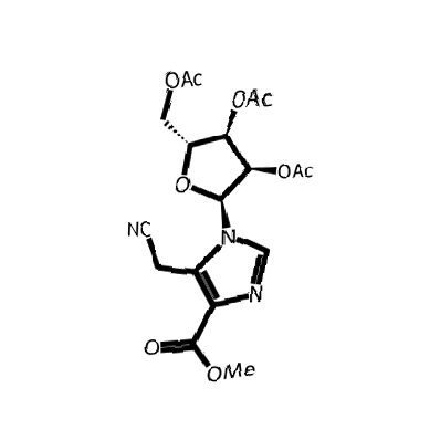 COC(=O)c1ncn([C@H]2O[C@H](COC(C)=O)[C@@H](OC(C)=O)[C@H]2OC(C)=O)c1CC#N